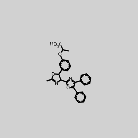 CC1=NC(c2nc(-c3ccccc3)c(-c3ccccc3)o2)C(c2cccc(OC(C)C(=O)O)c2)O1